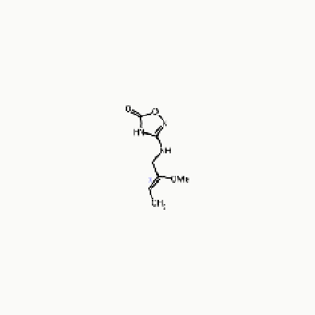 C/C=C(/CNc1noc(=O)[nH]1)OC